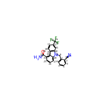 N#Cc1ccccc1Cn1c2cc(C(F)(F)F)c[c]c2c2c(C(N)=O)cccc21